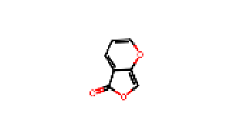 O=c1occ2occcc1-2